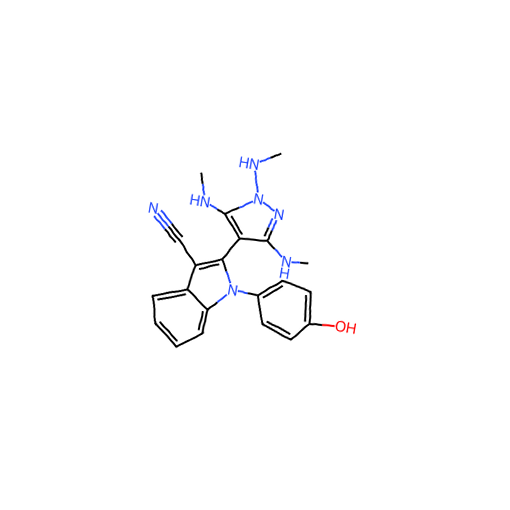 CNc1nn(NC)c(NC)c1-c1c(C#N)c2ccccc2n1-c1ccc(O)cc1